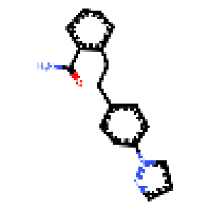 NC(=O)c1ccccc1CCc1ccc(-n2cccn2)cc1